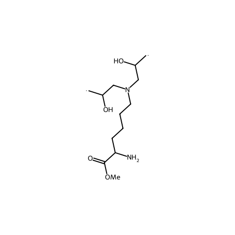 [CH2]C(O)CN(CCCCC(N)C(=O)OC)CC([CH2])O